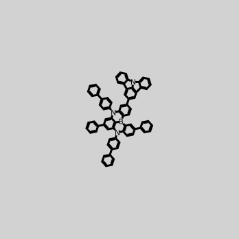 c1ccc(-c2ccc(N3c4ccc(-c5ccccc5)cc4B4c5ccc(-c6cc7c8ccccc8n8c9ccccc9c(c6)c78)cc5N(c5ccc(-c6ccccc6)cc5)c5cc(-c6ccccc6)cc3c54)cc2)cc1